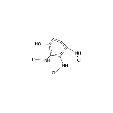 Oc1ccc(NCl)c(NCl)c1NCl